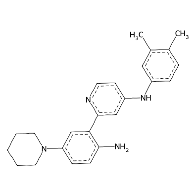 Cc1ccc(Nc2ccnc(-c3cc(N4CCCCC4)ccc3N)c2)cc1C